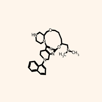 CN(C)CC1CCCOCC2CNCCN2c2nc(nc3c2CCN(c2cccc4ccccc24)C3)O1